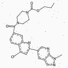 CCCOC(=O)N1CCN(C(=O)c2ccc3c(Cl)cc(-c4cnc5c(cnn5C)c4)nc3c2)CC1